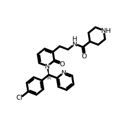 O=C(NCCc1cccn([C@H](c2ccc(Cl)cc2)c2ccccn2)c1=O)C1CCNCC1